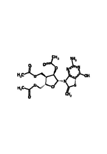 C=C1Sc2c(O)nc(N)nc2N1[C@@H]1O[C@H](COC(C)=O)[C@@H](COC(C)=O)[C@H]1OC(C)=O